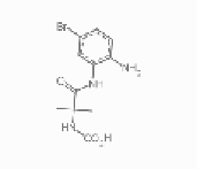 CC(C)(NC(=O)O)C(=O)Nc1cc(Br)ccc1N